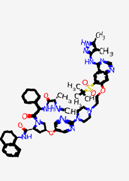 CN[C@@H](C)C(=O)NC(C(=O)N1C[C@@H](Oc2cnc(N3CCN(CCOc4cc5ncnc(Nc6n[nH]c(C)c6C)c5cc4S(=O)(=O)C(C)(C)C)CC3)nc2)C[C@H]1C(=O)N[C@@H]1CCCc2ccccc21)C1CCCCC1